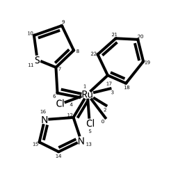 [CH3][Ru]([CH3])([CH3])([Cl])([Cl])(=[CH]c1cccs1)(=[C]1N=CC=N1)[c]1ccccc1